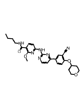 CCCCNC(=O)c1ccc(Nc2nccc(-c3ccc(OC4CCOCC4)c(C#N)c3)n2)nc1OC